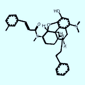 Cc1cccc(C=CC(=O)N(C)[C@@H]2CC[C@H]3[C@H]4Cc5c(N(C)C)cc(O)c6c5[C@@]3(CCN4CCc3ccccc3)[C@H]2O6)c1